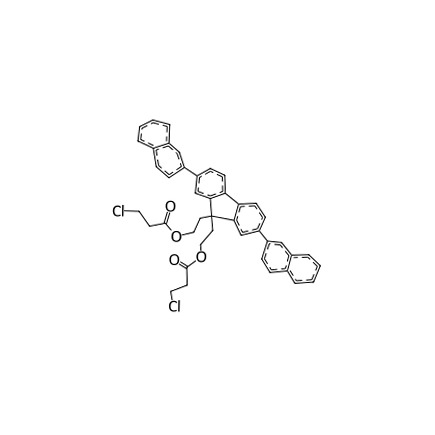 O=C(CCCl)OCCC1(CCOC(=O)CCCl)c2cc(-c3ccc4ccccc4c3)ccc2-c2ccc(-c3ccc4ccccc4c3)cc21